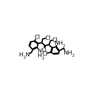 NCc1ccc(Cl)c(C(CCl)C(=O)C(CCl)c2c(Cl)ccc(CN)c2N)c1N